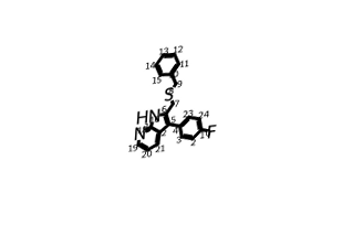 Fc1ccc(-c2c(CSCc3ccccc3)[nH]c3ncccc23)cc1